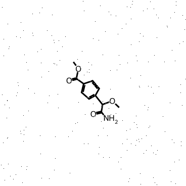 COC(=O)c1ccc(C(OC)C(N)=O)cc1